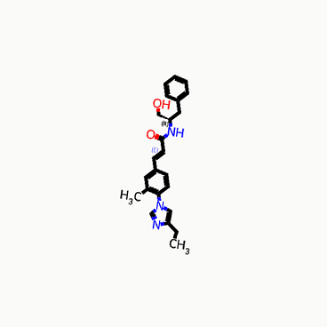 CCc1cn(-c2ccc(/C=C/C(=O)N[C@@H](CO)Cc3ccccc3)cc2C)cn1